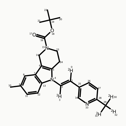 [2H]C(=C([2H])n1c2c(c3cc(C)ccc31)CN(C(=O)OC(C)(C)C)CC2)c1ccc(C([2H])([2H])[2H])nc1